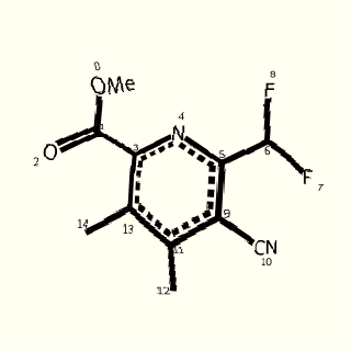 COC(=O)c1nc(C(F)F)c(C#N)c(C)c1C